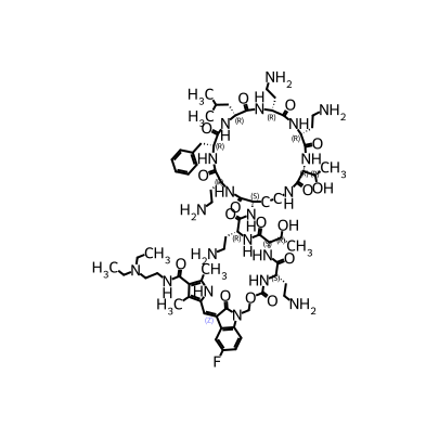 CCN(CC)CCNC(=O)c1c(C)[nH]c(/C=C2\C(=O)N(COC(=O)N[C@@H](CCN)C(=O)N[C@H](C(=O)N[C@H](CCN)C(=O)N[C@H]3CCNC(=O)[C@@H]([C@@H](C)O)NC(=O)[C@@H](CCN)NC(=O)[C@@H](CCN)NC(=O)[C@@H](CC(C)C)NC(=O)[C@@H](Cc4ccccc4)NC(=O)[C@@H](CCN)NC3=O)[C@@H](C)O)c3ccc(F)cc32)c1C